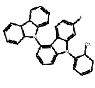 N#CC1CC=CC=C1n1c2cc(F)ccc2c2c(N3C4=CC=CCC4C4C=CC=CC43)cccc21